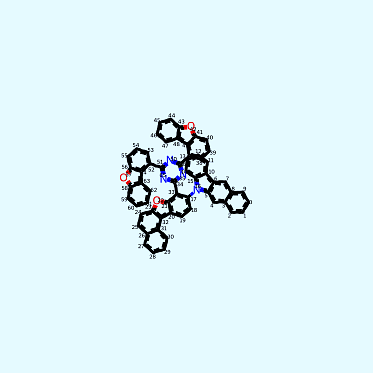 c1ccc2cc3c(cc2c1)c1ccccc1n3-c1ccc2c(oc3ccc4ccccc4c32)c1-c1nc(-c2cccc3oc4ccccc4c23)nc(-c2cccc3oc4ccccc4c23)n1